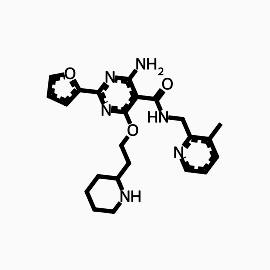 Cc1cccnc1CNC(=O)c1c(N)nc(-c2ccco2)nc1OCCC1CCCCN1